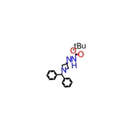 CC(C)(C)OC(=O)NN=C1CN(C(c2ccccc2)c2ccccc2)C1